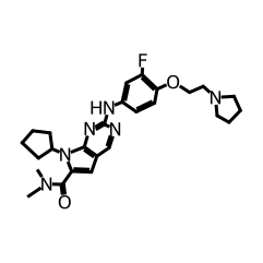 CN(C)C(=O)c1cc2cnc(Nc3ccc(OCCN4CCCC4)c(F)c3)nc2n1C1CCCC1